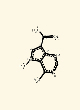 C=C(C)c1cn(C)c2c(N)ncnc12